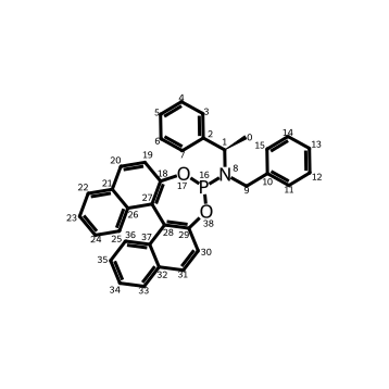 C[C@H](c1ccccc1)N(Cc1ccccc1)p1oc2ccc3ccccc3c2c2c(ccc3ccccc32)o1